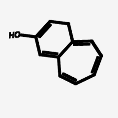 OC1=CCC2=CC=CC=CC2=C1